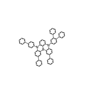 c1ccc(-c2ccc(N3c4ccc(-c5ccccc5)cc4B4c5cc(-c6ccccc6)ccc5N(c5ccc(-c6ccccc6)c(-c6ccccc6)c5)c5cccc3c54)cc2)cc1